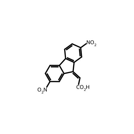 O=C(O)C=C1c2cc([N+](=O)[O-])ccc2-c2ccc([N+](=O)[O-])cc21